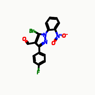 O=Cc1c(-c2ccc(F)cc2)nn(-c2ccccc2[N+](=O)[O-])c1Br